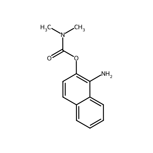 CN(C)C(=O)Oc1ccc2ccccc2c1N